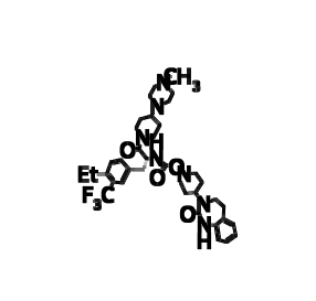 CCc1ccc(C[C@@H](NC(=O)ON2CCC(N3CCc4ccccc4NC3=O)CC2)C(=O)N2CCC(N3CCN(C)CC3)CC2)cc1C(F)(F)F